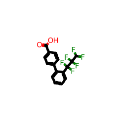 O=C(O)c1ccc(-c2ccccc2C(F)(F)C(F)(F)C(F)F)cc1